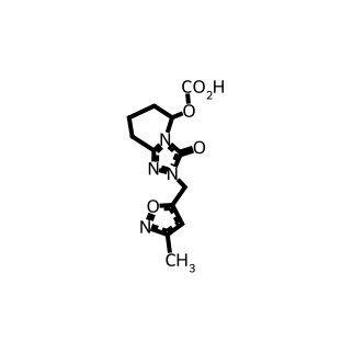 Cc1cc(Cn2nc3n(c2=O)C(OC(=O)O)CCC3)on1